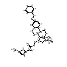 Cc1cnc(NC(=O)CC[C@@H]2C[C@H](O)[C@@]3(C)CCC4c5ccc(OCc6ccccc6)cc5CCC4C23)s1